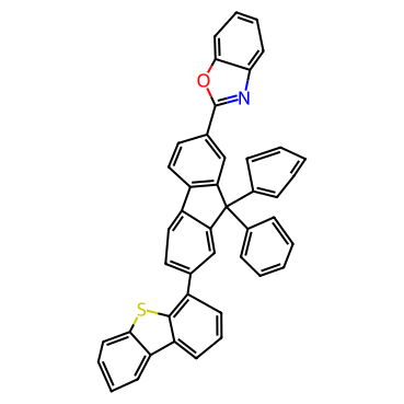 c1ccc(C2(c3ccccc3)c3cc(-c4nc5ccccc5o4)ccc3-c3ccc(-c4cccc5c4sc4ccccc45)cc32)cc1